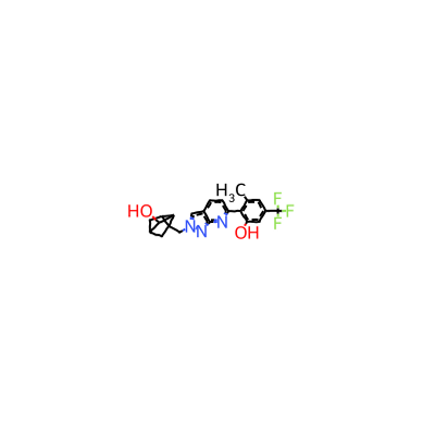 Cc1cc(C(F)(F)F)cc(O)c1-c1ccc2cn(CC34CC5CC3C4C5O)nc2n1